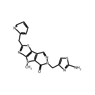 Cn1c2nc(Cc3ccccn3)sc2c2cnn(Cc3csc(N)n3)c(=O)c21